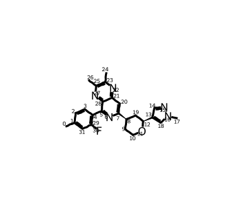 Cc1ccc(-c2nc([C@@H]3CCO[C@H](c4cnn(C)c4)C3)cc3nc(C)c(C)nc23)c(F)c1